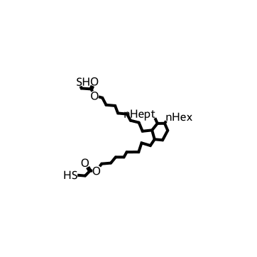 CCCCCCCC1C(CCCCCC)CCC(CCCCCCCCOC(=O)CS)C1CCCCCCCCOC(=O)CS